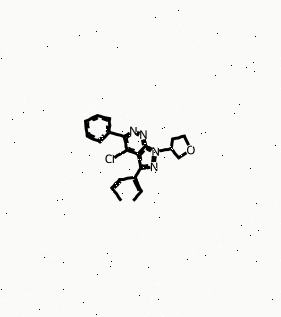 C/C=C\C(=C/C)c1nn(C2CCOC2)c2nnc(-c3ccccc3)c(Cl)c12